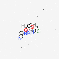 CC1(C)CC(NC(=O)Nc2cccc3cnccc23)c2ccc(Cl)cc2O1